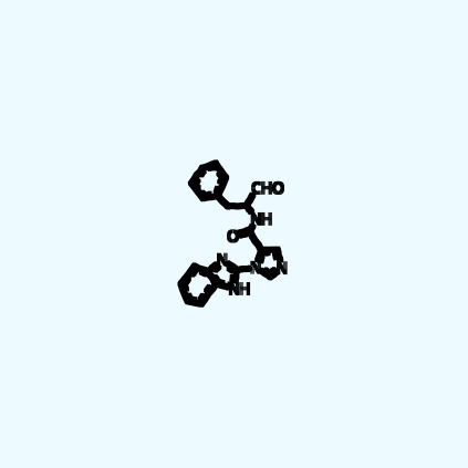 O=CC(Cc1ccccc1)NC(=O)c1cncn1-c1nc2ccccc2[nH]1